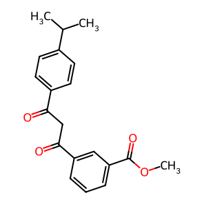 COC(=O)c1cccc(C(=O)CC(=O)c2ccc(C(C)C)cc2)c1